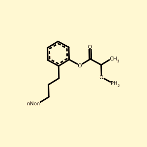 CCCCCCCCCCCCc1ccccc1OC(=O)C(C)OP